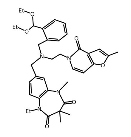 CCOC(OCC)c1ccccc1CN(CCn1ccc2oc(C)cc2c1=O)Cc1ccc2c(c1)N(C)C(=O)C(C)(C)C(=O)N2CC